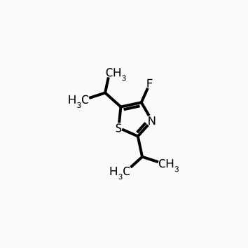 CC(C)c1nc(F)c(C(C)C)s1